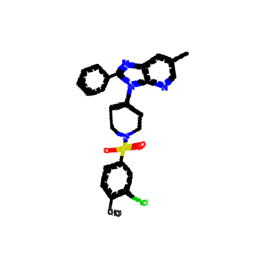 Cc1cnc2c(c1)nc(-c1ccccc1)n2C1CCN(S(=O)(=O)c2ccc(C=O)c(Cl)c2)CC1